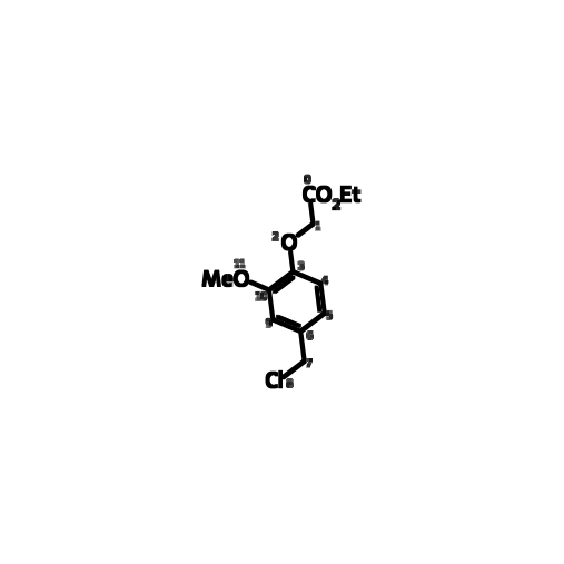 CCOC(=O)COc1ccc(CCl)cc1OC